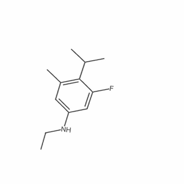 CCNc1cc(C)c(C(C)C)c(F)c1